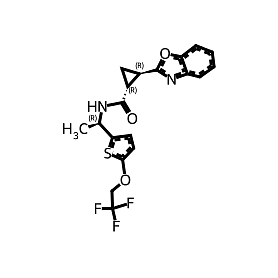 C[C@@H](NC(=O)[C@@H]1C[C@H]1c1nc2ccccc2o1)c1ccc(OCC(F)(F)F)s1